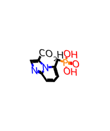 O=C(O)c1cnc2cccc(CP(=O)(O)O)n12